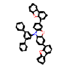 c1ccc(-c2cc(-c3ccccc3)cc(N3c4ccc(-c5cccc6c5oc5ccccc56)cc4Oc4cc(-c5cccc6c5oc5ccccc56)ccc43)c2)cc1